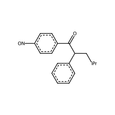 CC(C)CC(C(=O)c1ccc(N=O)cc1)c1ccccc1